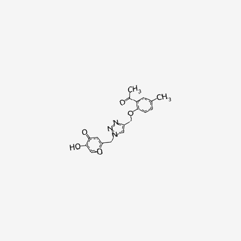 CC(=O)c1cc(C)ccc1OCc1cn(Cc2cc(=O)c(O)co2)nn1